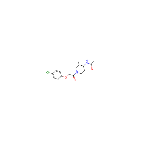 CC(=O)NC1CCN(C(=O)COc2ccc(Cl)cc2)CC1C